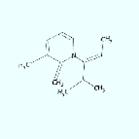 C=C1C(C)=CC=CN1/C(=C\C)C(C)C